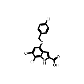 O=C(O)c1cc2c(OCc3ccc(Cl)cc3)cc(Cl)c(Cl)c2[nH]1